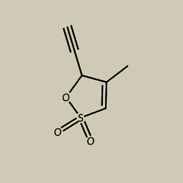 C#CC1OS(=O)(=O)C=C1C